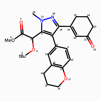 COC(=O)C(OC(C)(C)C)c1c(-c2ccc3c(c2)CCCO3)c(C2=CC(=O)CCC2)nn1C